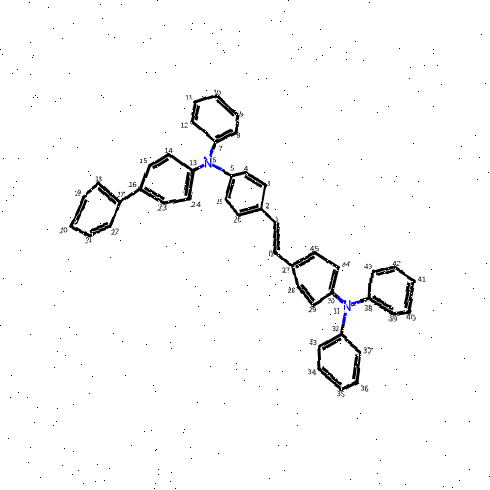 C(=C\c1ccc(N(c2ccccc2)c2ccc(-c3ccccc3)cc2)cc1)/c1ccc(N(c2ccccc2)c2ccccc2)cc1